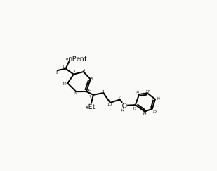 CCCCCC(C)C1CC=C(C(CC)CCCOc2ccccc2)CC1